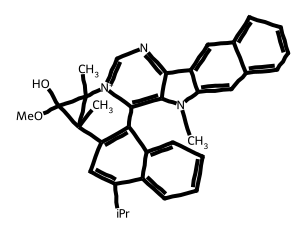 COC1(O)C2(C)c3cc(C(C)C)c4ccccc4c3-c3c4c(nc[n+]3C12C)c1cc2ccccc2cc1n4C